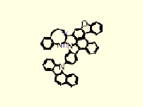 C1=C(c2ccc3c(c2)oc2ccccc23)\C(n2c3cc(-n4c5ccccc5c5ccc6ccccc6c54)ccc3c3c4ccccc4ccc32)=N/c2ccccc2CC/1